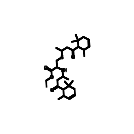 CCOC(=O)C(CSC(C)CC(=O)C1C(C)C=CCC1(C)C)NC(C)CC(=O)C1C(C)C=CCC1(C)C